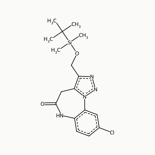 CC(C)(C)[Si](C)(C)OCc1nnn2c1CC(=O)Nc1ccc(Cl)cc1-2